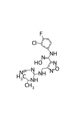 CC(C)NC(=NC#N)NCc1nonc1C(=NO)Nc1ccc(F)c(Cl)c1